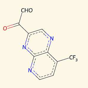 O=CC(=O)c1cnc2c(C(F)(F)F)ccnc2n1